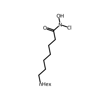 CCCCCCCCCCCCC(=O)N(O)Cl